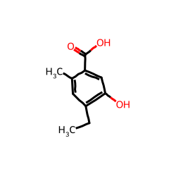 CCc1cc(C)c(C(=O)O)cc1O